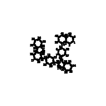 c1ccc2c(-c3ccc(-n4c(-c5ccc(-c6cccc7c6sc6ccccc67)cc5)nc5ccccc54)cc3)cccc2c1